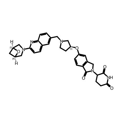 O=C1CCC(N2Cc3cc(O[C@H]4CCN(Cc5ccc6nc(N7C[C@H]8C[C@@H](C7)O8)ccc6c5)C4)ccc3C2=O)C(=O)N1